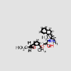 C[C@@H](OC[C@H](O)CNC(C)(C)Cc1ccc2ccccc2c1)c1cccc2c1O[C@@H]1[C@@H](C(=O)O)[C@H]21